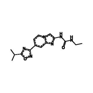 CCNC(=O)Nc1cn2ccc(-c3noc(C(C)C)n3)cc2n1